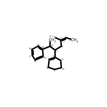 C/C=C(/I)CC(C1=CCCCC1)C(C)c1ccccc1